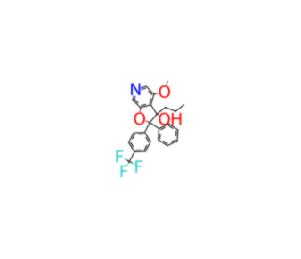 CCCC1(O)c2c(OC)cncc2OC1(c1ccccc1)c1ccc(C(F)(F)F)cc1